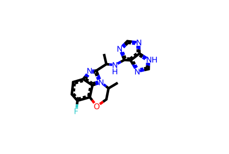 CC(Nc1ncnc2[nH]cnc12)c1nc2ccc(F)c3c2n1C(C)CO3